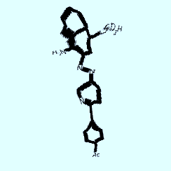 CC(=O)c1ccc(-c2ccc(/N=N/c3cc(S(=O)(=O)O)c4ccccc4c3N)cn2)cc1